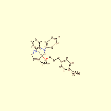 COC1=CC=NCC1(CN(c1ccccc1)c1ccccc1)OCCCc1ccc(OC)cc1